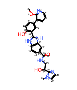 COc1ncccc1-c1ccc(O)c(C2Nc3ccc(C(=O)NCC(O)c4nccn4C)cc3N2)c1